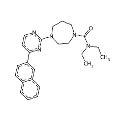 CCN(CC)C(=O)N1CCCN(c2nccc(-c3ccc4ccccc4c3)n2)CC1